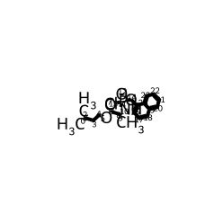 CC(C)CCOC(=O)C(C)NP(=O)(Cl)Oc1cccc2ccccc12